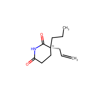 C=CC[C@]1(CCC)CCC(=O)NC1=O